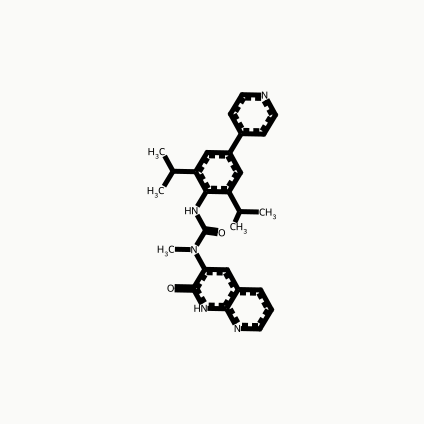 CC(C)c1cc(-c2ccncc2)cc(C(C)C)c1NC(=O)N(C)c1cc2cccnc2[nH]c1=O